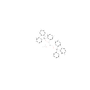 CCCCOC(COC(c1ccccc1)(c1ccccc1)c1ccccc1)COC(c1ccccc1)(c1ccccc1)c1ccccc1